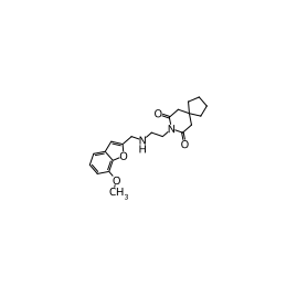 COc1cccc2cc(CNCCN3C(=O)CC4(CCCC4)CC3=O)oc12